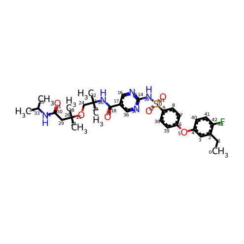 CCc1cc(Oc2ccc(S(=O)(=O)Nc3ncc(C(=O)NC(C)(C)COC(C)(C)CC(=O)NC(C)C)cn3)cc2)ccc1F